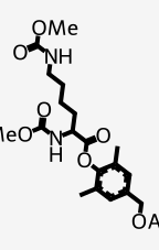 COC(=O)NCCCCC(NC(=O)OC)C(=O)Oc1c(C)cc(COC(C)=O)cc1C